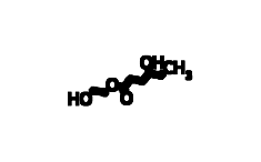 CCC(O)CCC(=O)OCCO